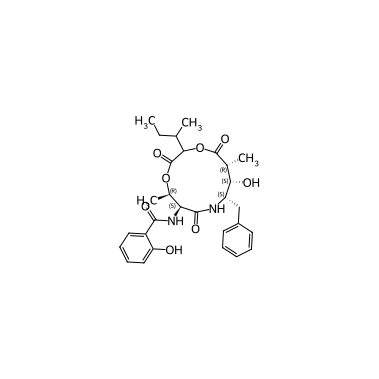 CCC(C)C1OC(=O)[C@H](C)[C@H](O)[C@H](Cc2ccccc2)NC(=O)[C@@H](NC(=O)c2ccccc2O)[C@@H](C)OC1=O